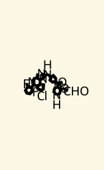 O=COC1CNCCN1C(=O)c1ccc(Nc2ncc3c(n2)-c2ccc(Cl)cc2C(c2c(F)cccc2F)=NC3)cc1